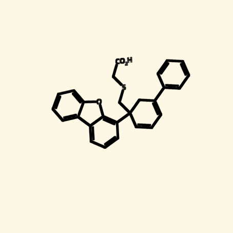 O=C(O)CSCC1(c2cccc3c2oc2ccccc23)C=CC=C(c2ccccc2)C1